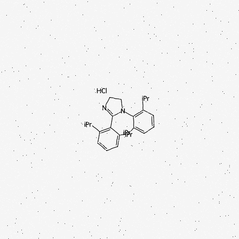 CC(C)c1cccc(C(C)C)c1C1=NCCN1c1c(C(C)C)cccc1C(C)C.Cl